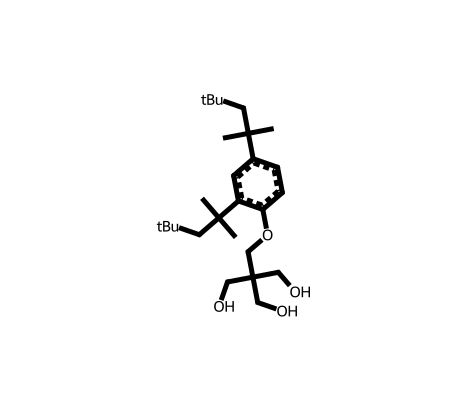 CC(C)(C)CC(C)(C)c1ccc(OCC(CO)(CO)CO)c(C(C)(C)CC(C)(C)C)c1